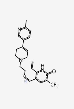 C=Cc1[nH]c(=O)c(C(F)(F)F)cc1/C=N\CCN1CC=C(c2ccc(C)nc2)CC1